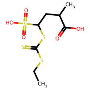 CCSC(=S)SC(CC(C)C(=O)O)S(=O)(=O)O